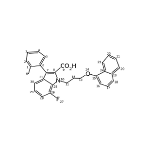 Cc1ccccc1-c1c(C(=O)O)n(CCCOc2cccc3ccccc23)c2c(F)cccc12